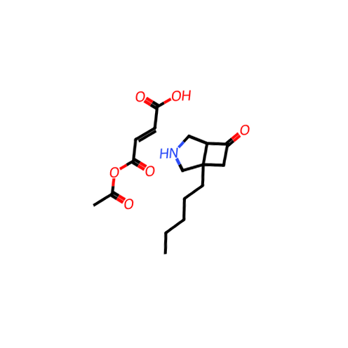 CC(=O)OC(=O)C=CC(=O)O.CCCCCC12CNCC1C(=O)C2